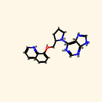 c1cnc2c(OCC3CCCN3c3ncnc4[nH]cnc34)cccc2c1